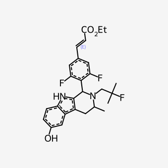 CCOC(=O)/C=C/c1cc(F)c(C2c3[nH]c4ccc(O)cc4c3CC(C)N2CC(C)(C)F)c(F)c1